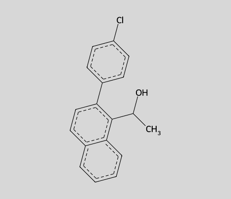 CC(O)c1c(-c2ccc(Cl)cc2)ccc2ccccc12